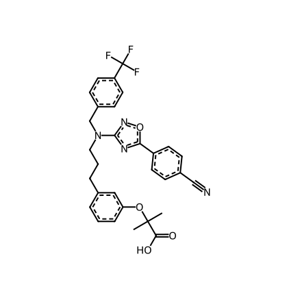 CC(C)(Oc1cccc(CCCN(Cc2ccc(C(F)(F)F)cc2)c2noc(-c3ccc(C#N)cc3)n2)c1)C(=O)O